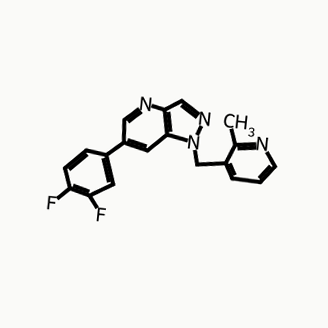 Cc1ncccc1Cn1ncc2ncc(-c3ccc(F)c(F)c3)cc21